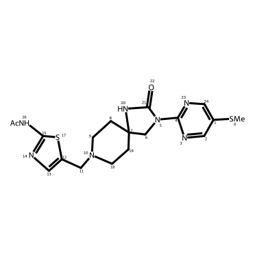 CSc1cnc(N2CC3(CCN(Cc4cnc(NC(C)=O)s4)CC3)NC2=O)nc1